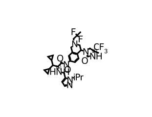 CC(C)n1nccc1C(=O)N[C@H](C(=O)Nc1ccc2c(c1)CN(CC(C)(F)F)CC2N1C[C@@](C)(C(F)(F)F)NC1=O)C(C1CC1)C1CC1